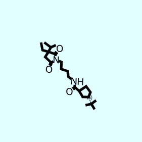 CCC1(C(C)C)CC(=O)N(CCCCNC(=O)C2CC[C@H](C(C)(C)C)C2)C1=O